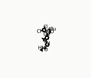 Cc1cn(-c2cc(C(=O)NC3CC3)ccn2)c2ccc(N(CC(=O)OC(C)(C)C)S(=O)(=O)c3cc(Cl)cc(Cl)c3)cc12